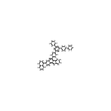 c1ccc(-c2ccc(-c3nc(-c4ccccc4)nc(-c4ccc(-c5nc6cc(-c7cccc8ccccc78)ccc6c6sc7ccccc7c56)cc4)n3)cc2)cc1